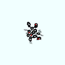 CCC1CC2CC(C)C(c3cc(C4C5CC6CC(C5)CC4C6)cc(N(c4cc(C(C)(C)C)cc(C(C)(C)C)c4)c4c5ccccc5c(N(c5cc(C6C7CC8CC(C7)CC6C8)cc(C6C7CC8CC=C7C6C8)c5)c5cc(C(C)(C)C)cc(C(C)(C)C)c5)c5cc(-c6ccccc6)ccc45)c3)C(C1)C2